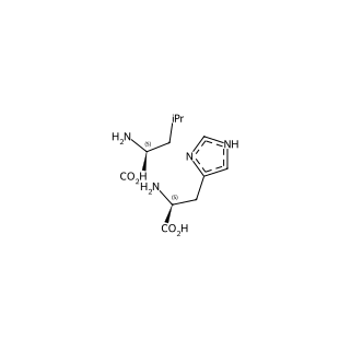 CC(C)C[C@H](N)C(=O)O.N[C@@H](Cc1c[nH]cn1)C(=O)O